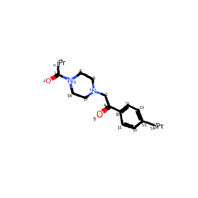 CC(C)C(=O)N1CCN(CC(=O)c2ccc(C(C)C)cc2)CC1